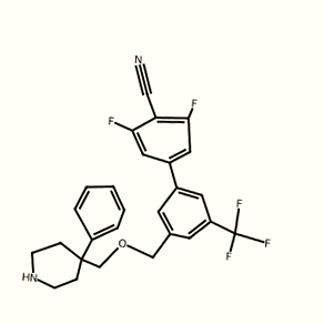 N#Cc1c(F)cc(-c2cc(COCC3(c4ccccc4)CCNCC3)cc(C(F)(F)F)c2)cc1F